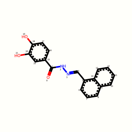 O=C(N/N=C/c1cccc2ccccc12)c1ccc(O)c(O)c1